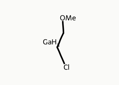 [CH2]OCCCl.[GaH3]